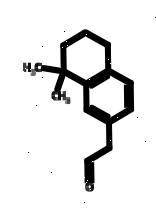 CC1(C)CCCc2ccc(CC=O)cc21